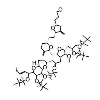 C=C1C[C@H](CCC=O)O[C@H]1CC[C@H]1CCC(=C)[C@@H](C[C@@H]2O[C@H](C[C@@H](CO[Si](C)(C)C(C)(C)C)O[Si](C)(C)C(C)(C)C)[C@@H](OC)[C@H]2CC(=O)C[C@H]2CC[C@@H]3OC(C(/C=C/I)O[Si](C)(C)C(C)(C)C)C(O[Si](C)(C)C(C)(C)C)C(O[Si](C)(C)C(C)(C)C)C3O2)O1